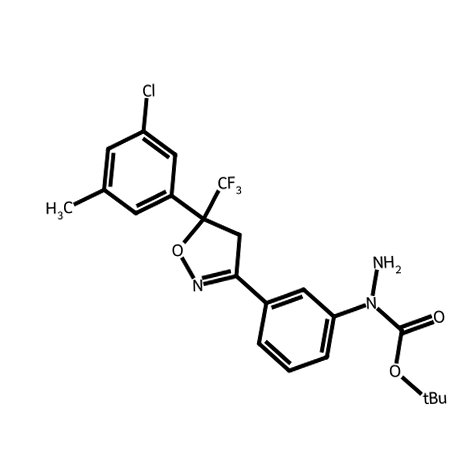 Cc1cc(Cl)cc(C2(C(F)(F)F)CC(c3cccc(N(N)C(=O)OC(C)(C)C)c3)=NO2)c1